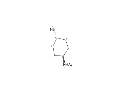 CC(=O)N[C@H]1CC[C@H](S)CC1